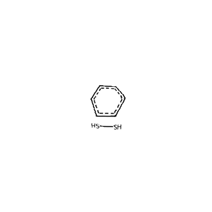 SS.c1ccccc1